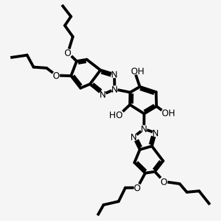 CCCCOc1cc2nn(-c3c(O)cc(O)c(-n4nc5cc(OCCCC)c(OCCCC)cc5n4)c3O)nc2cc1OCCCC